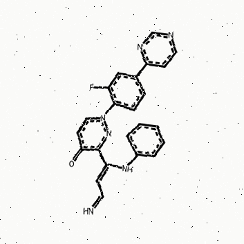 N=C/C=C(\Nc1ccccc1)c1nn(-c2ccc(-c3ccncn3)cc2F)ccc1=O